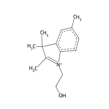 CC1=[N+](CCO)c2ccc(C)cc2C1(C)C